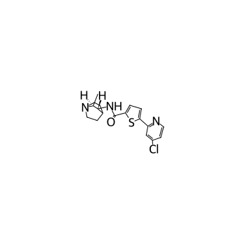 C[C@H]1[C@H](NC(=O)c2ccc(-c3cc(Cl)ccn3)s2)C2CCN1CC2